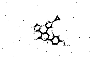 CCCCCCOc1ccc([C@]2(C)CC(c3cnn(C4CC4)c3)=C(c3nnc[nH]3)C(=O)N2)c(F)c1